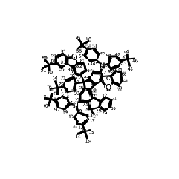 CC(C)(C)c1ccc(N(c2ccc(C(C)(C)C)cc2)c2cc3c(c4c2C(C)(C)c2ccccc2-4)-c2c(cc(N(c4ccc(C(C)(C)C)cc4)c4ccc(C(C)(C)C)cc4)c4c2oc2ccccc24)C3(c2ccc(C(C)(C)C)cc2)c2ccc3oc4ccc(C(C)(C)C)cc4c3c2)cc1